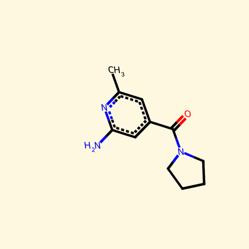 Cc1cc(C(=O)N2CCCC2)cc(N)n1